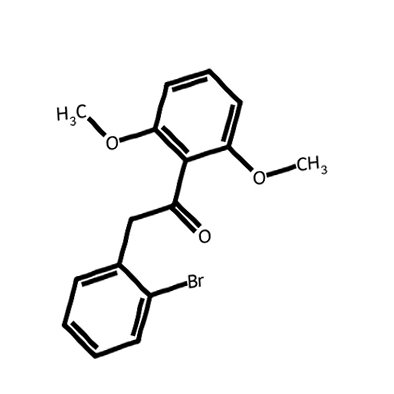 COc1cccc(OC)c1C(=O)Cc1ccccc1Br